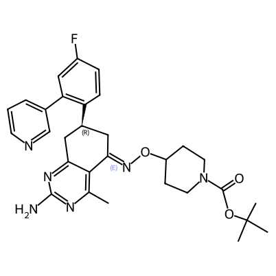 Cc1nc(N)nc2c1/C(=N/OC1CCN(C(=O)OC(C)(C)C)CC1)C[C@H](c1ccc(F)cc1-c1cccnc1)C2